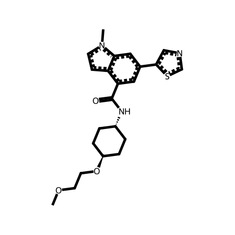 COCCO[C@H]1CC[C@H](NC(=O)c2cc(-c3cncs3)cc3c2ccn3C)CC1